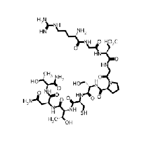 C[C@@H](O)[C@H](NC(=O)[C@H](CC(N)=O)NC(=O)[C@@H](NC(=O)[C@H](CS)NC(=O)[C@H](CO)NC(=O)[C@@H]1CCCN1C(=O)CNC(=O)[C@H](CC(=O)O)NC(=O)CNC(=O)[C@@H](N)CCCNC(=N)N)[C@@H](C)O)C(N)=O